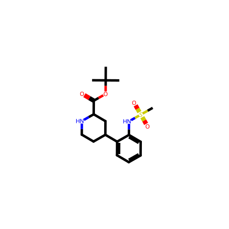 CC(C)(C)OC(=O)C1CC(c2ccccc2NS(C)(=O)=O)CCN1